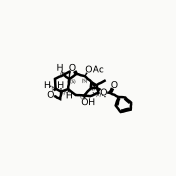 CC(=O)O[C@@H]1C(=O)[C@@]23C[C@@H]2C[C@@H]2OC[C@@H]2[C@@H]3C[C@@]2(O)C[C@@H](C)C(C)=C1[C@@]2(C)COC(=O)c1ccccc1